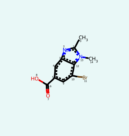 Cc1nc2cc(C(=O)O)cc(Br)c2n1C